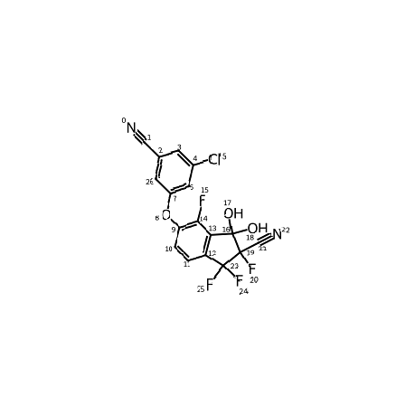 N#Cc1cc(Cl)cc(Oc2ccc3c(c2F)C(O)(O)C(F)(C#N)C3(F)F)c1